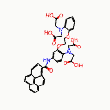 O=C(O)CN(CC(=O)O)c1ccccc1OCCOc1cc(NC(=O)c2ccc3ccc4cccc5ccc2c3c45)ccc1N(CC(=O)O)CC(=O)O